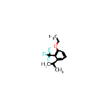 CCOc1cccc([C](C)C)c1C(F)(F)F